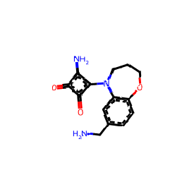 NCc1ccc2c(c1)N(c1c(N)c(=O)c1=O)CCCO2